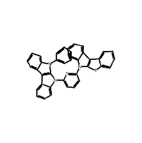 c1ccc(-n2c3ccccc3c3c4ccccc4n(-c4cccc(-n5c6ccccc6c6c7ccccc7sc65)n4)c32)cc1